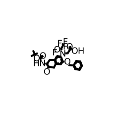 CC(C)(C)OC(=O)N[C@H]1Cc2c(cc(OCc3ccccc3)c(N(CC(=O)O)C(=O)C(F)(F)F)c2F)CC1=O